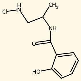 CC(CNCl)NC(=O)c1ccccc1O